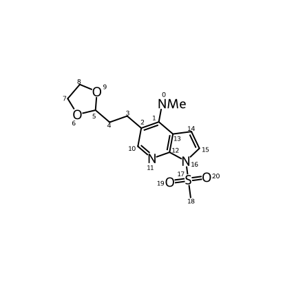 CNc1c(CCC2OCCO2)cnc2c1ccn2S(C)(=O)=O